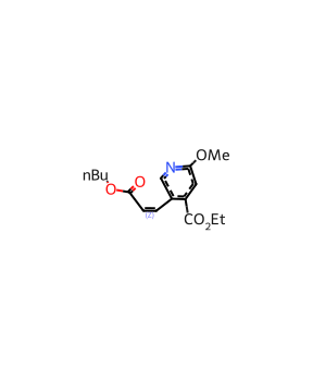 CCCCOC(=O)/C=C\c1cnc(OC)cc1C(=O)OCC